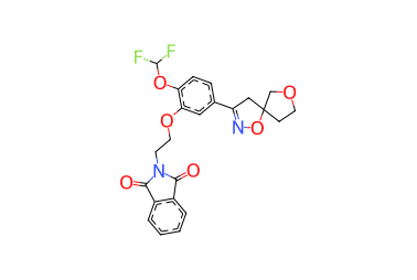 O=C1c2ccccc2C(=O)N1CCOc1cc(C2=NOC3(CCOC3)C2)ccc1OC(F)F